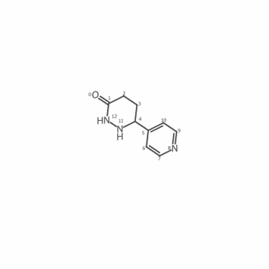 O=C1CCC(c2ccncc2)NN1